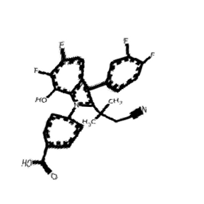 CC(C)(CC#N)c1c(-c2ccc(F)c(F)c2)c2cc(F)c(F)c(O)c2n1-c1ccc(C(=O)O)cc1